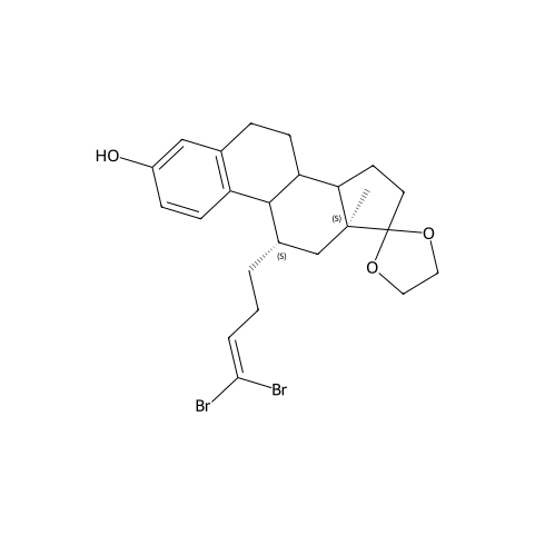 C[C@]12C[C@H](CCC=C(Br)Br)C3c4ccc(O)cc4CCC3C1CCC21OCCO1